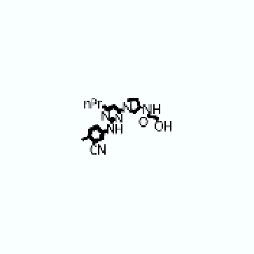 CCCc1cc(N2CC[C@H](NC(=O)CO)C2)nc(Nc2ccc(C)c(C#N)c2)n1